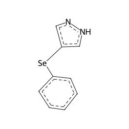 c1ccc([Se]c2cn[nH]c2)cc1